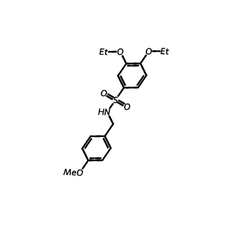 CCOc1ccc(S(=O)(=O)NCc2ccc(OC)cc2)cc1OCC